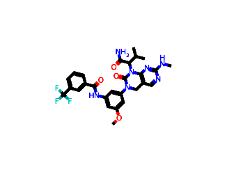 CNc1ncc2c(n1)N(C(C(N)=O)C(C)C)C(=O)N(c1cc(NC(=O)c3cccc(C(F)(F)F)c3)cc(OC)c1)C2